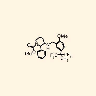 COc1ccc(C(C)(C(F)(F)F)C(F)(F)F)cc1CNC1CCCN(C(=O)OC(C)(C)C)C1c1ccccc1